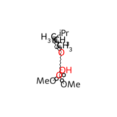 COc1ccc(C(OCCC(O)CCCCCCCCCOC2CC[C@@]3(C)C(=CCC4C3CC[C@@]3(C)C4CC[C@@H]3[C@H](C)CCCC(C)C)C2)(c2ccccc2)c2ccc(OC)cc2)cc1